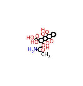 CC1C[C@@H](N)C[C@H](O[C@H]2C[C@](O)(C(=O)CO)Cc3c(O)c4c(c(O)c32)C(=O)c2ccccc2C4=O)O1